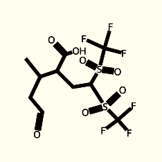 CC(CC=O)C(CC(S(=O)(=O)C(F)(F)F)S(=O)(=O)C(F)(F)F)C(=O)O